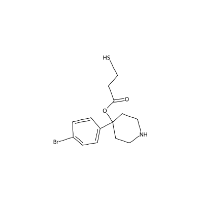 O=C(CCS)OC1(c2ccc(Br)cc2)CCNCC1